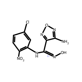 Nc1nonc1/C(=N\O)Nc1cc(Cl)ccc1[N+](=O)[O-]